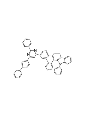 c1ccc(-c2ccc(-c3cc(-c4ccc5c(c4)c4ccccc4c4c5ccc5c6ccccc6n(-c6ccccc6)c54)nc(-c4ccccc4)n3)cc2)cc1